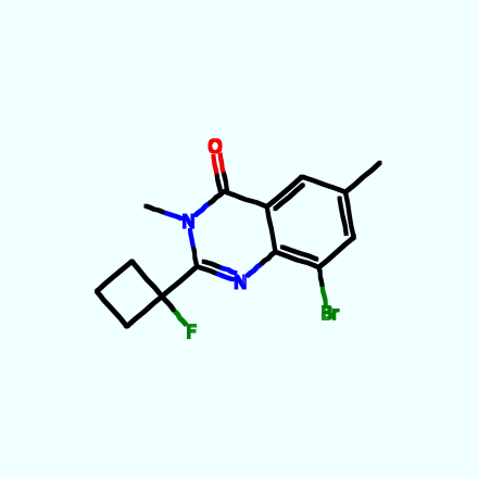 Cc1cc(Br)c2nc(C3(F)CCC3)n(C)c(=O)c2c1